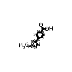 CCn1nnc(-c2ccc(C(=O)O)cc2)n1